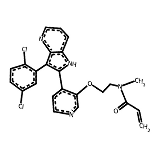 C=CC(=O)N(C)CCOc1cnccc1-c1[nH]c2cccnc2c1-c1cc(Cl)ccc1Cl